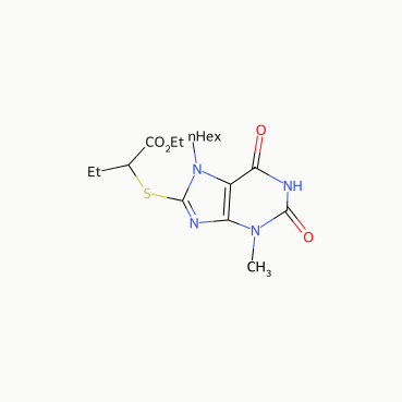 CCCCCCn1c(SC(CC)C(=O)OCC)nc2c1c(=O)[nH]c(=O)n2C